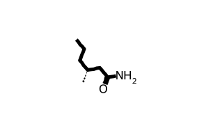 CCC[C@@H](C)CC(N)=O